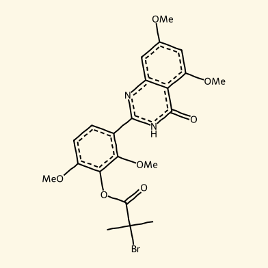 COc1cc(OC)c2c(=O)[nH]c(-c3ccc(OC)c(OC(=O)C(C)(C)Br)c3OC)nc2c1